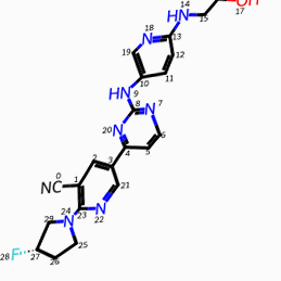 N#Cc1cc(-c2ccnc(Nc3ccc(NCCO)nc3)n2)cnc1N1CC[C@H](F)C1